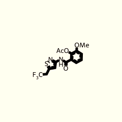 COc1cccc(C(=O)Nc2cc(CC(F)(F)F)sn2)c1OC(C)=O